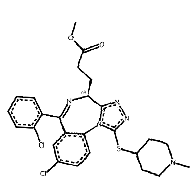 COC(=O)CC[C@@H]1N=C(c2ccccc2Cl)c2cc(Cl)ccc2-n2c(SC3CCN(C)CC3)nnc21